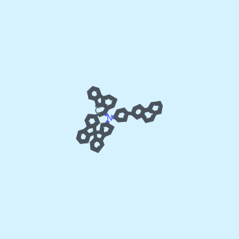 c1ccc2c(c1)-c1cccc3c(N(c4ccc(-c5ccc6c(ccc7ccccc76)c5)cc4)c4ccc5c(c4)C4(c6ccccc6-c6ccccc64)c4ccccc4-5)ccc-2c13